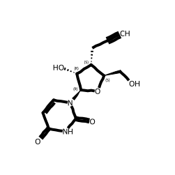 C#CC[C@H]1[C@@H](O)[C@H](n2ccc(=O)[nH]c2=O)O[C@@H]1CO